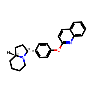 c1ccc2nc(Oc3ccc([C@H]4CC[C@H]5CCCCN54)cc3)ccc2c1